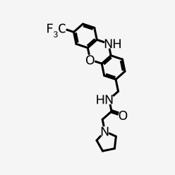 O=C(CN1CCCC1)NCc1ccc2c(c1)Oc1cc(C(F)(F)F)ccc1N2